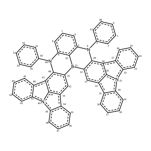 c1ccc(N2c3cccc4c3B(c3cc5c6ccccc6n6c7ccccc7c(c32)c56)c2cc3c5ccccc5n5c6ccccc6c(c2N4c2ccccc2)c35)cc1